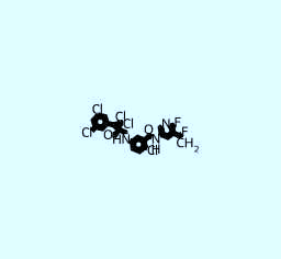 C=C(F)c1cc(NC(=O)c2cc(NCC3(C=O)C(c4cc(Cl)cc(Cl)c4)C3(Cl)Cl)ccc2Cl)cnc1F